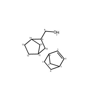 C1=CC2CCC1C2.OCC1CC2CCC1C2